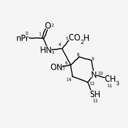 CCCC(=O)NC(C(=O)O)C1(N=O)CCN(C)C(S)C1